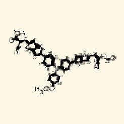 COc1ccc(N(c2ccc(-c3cc4sc(/C=C(\C#N)OC=O)cc4s3)cc2)c2ccc(-c3cc4sc(/C=C(\C#N)C(=O)O)cc4s3)cc2)cc1